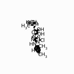 C[C@]12C[C@@H]3C[C@](C)(C1)C[C@@](Nc1nc(Cl)nc4c1ncn4[C@@H]1O[C@H](CCP(C)(=O)CP(C)(C)=O)C(O)[C@@H]1O)(C3)C2